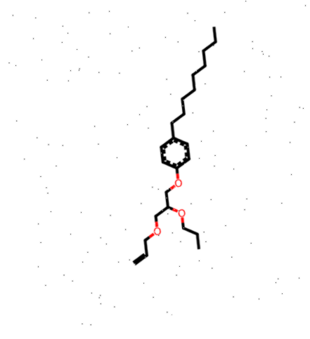 C=CCOCC(COc1ccc(CCCCCCCCC)cc1)OCCC